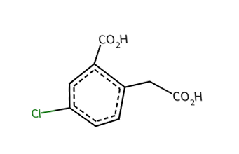 O=C(O)Cc1ccc(Cl)cc1C(=O)O